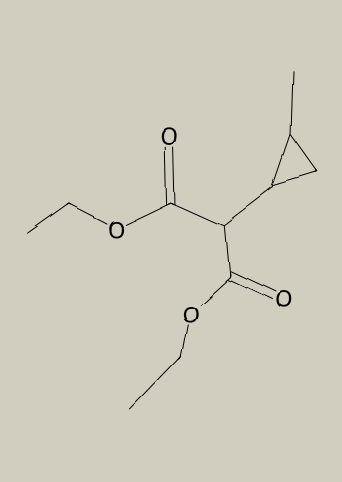 CCOC(=O)C(C(=O)OCC)C1CC1C